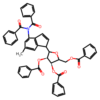 Cc1cc2c(c(N(C(=O)c3ccccc3)C(=O)c3ccccc3)c1)C=CC2C1OC(COC(=O)c2ccccc2)[C@@H](OC(=O)c2ccccc2)[C@H]1OC(=O)c1ccccc1